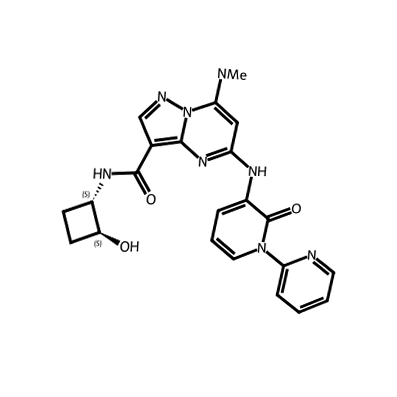 CNc1cc(Nc2cccn(-c3ccccn3)c2=O)nc2c(C(=O)N[C@H]3CC[C@@H]3O)cnn12